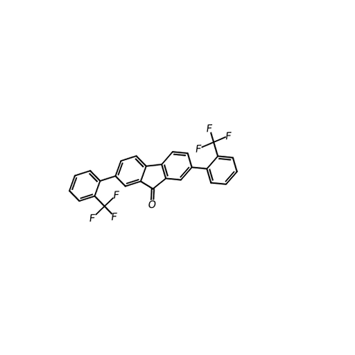 O=C1c2cc(-c3ccccc3C(F)(F)F)ccc2-c2ccc(-c3ccccc3C(F)(F)F)cc21